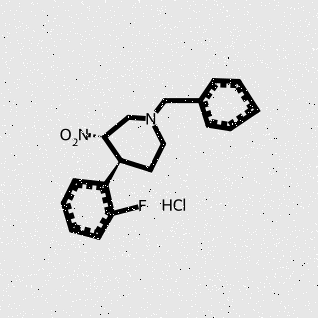 Cl.O=[N+]([O-])[C@@H]1CN(Cc2ccccc2)CC[C@H]1c1ccccc1F